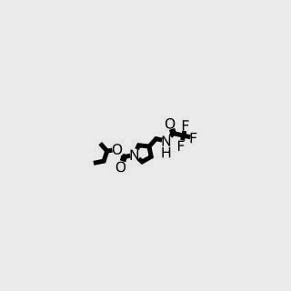 CCC(C)OC(=O)N1CCC(CNC(=O)C(F)(F)F)C1